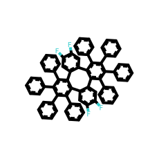 Fc1cc2c(cc1F)-c1c(-c3ccccc3)c(-c3ccccc3)c(-c3ccccc3)c(-c3ccccc3)c1-c1cc(F)c(F)cc1-c1c(-c3ccccc3)c(-c3ccccc3)c(-c3ccccc3)c(-c3ccccc3)c1-2